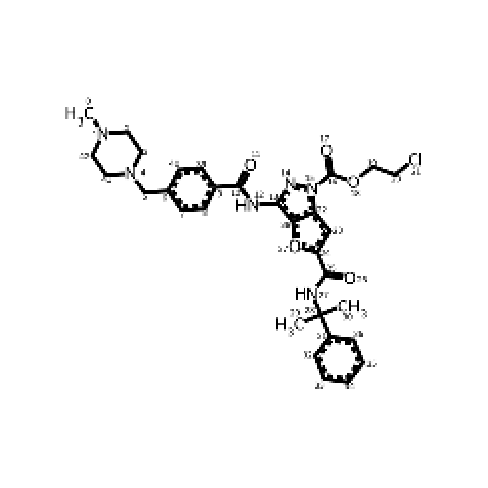 CN1CCN(Cc2ccc(C(=O)Nc3nn(C(=O)OCCCl)c4cc(C(=O)NC(C)(C)c5ccccc5)oc34)cc2)CC1